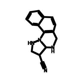 N#CC1CNN2c3c(ccc4ccccc34)CNC12